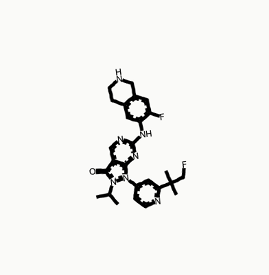 CC(C)n1c(=O)c2cnc(Nc3cc4c(cc3F)CNCC4)nc2n1-c1ccnc(C(C)(C)CF)c1